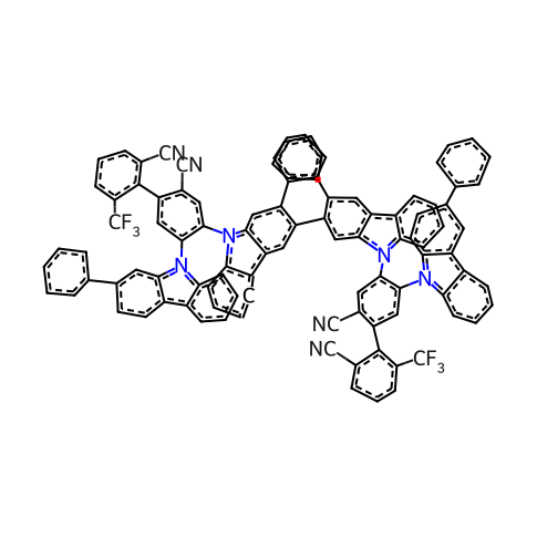 N#Cc1cc(-n2c3ccccc3c3cc(-c4ccccc4)c(-c4cc5c6ccccc6n(-c6cc(C#N)c(-c7c(C#N)cccc7C(F)(F)F)cc6-n6c7ccccc7c7ccc(-c8ccccc8)cc76)c5cc4-c4ccccc4)cc32)c(-n2c3ccccc3c3cc(-c4ccccc4)ccc32)cc1-c1c(C#N)cccc1C(F)(F)F